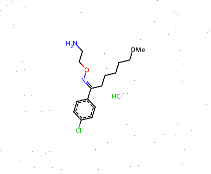 COCCCCCC(=NOCCN)c1ccc(Cl)cc1.Cl